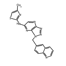 Cc1csc(Nc2cnc3nnn(Cc4ccc5ncccc5c4)c3n2)n1